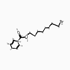 O=C(OCCCCCCCCBr)N1C=CCC=C1